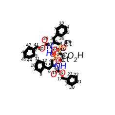 CCOP(=O)(CC(Cc1ccccc1)NC(=O)OCc1ccccc1)C(C(=O)O)P(=O)(CC(Cc1ccccc1)NC(=O)OCc1ccccc1)OCC